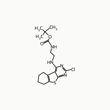 CC(C)(C)OC(=O)NCCNc1nc(Cl)nc2sc3c(c12)CCCC3